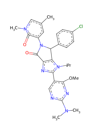 COc1nc(N(C)C)ncc1-c1nc2c(n1C(C)C)C(c1ccc(Cl)cc1)N(c1cc(C)cn(C)c1=O)C2=O